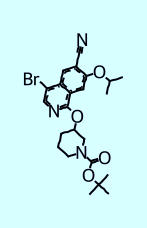 CC(C)Oc1cc2c(OC3CCCN(C(=O)OC(C)(C)C)C3)ncc(Br)c2cc1C#N